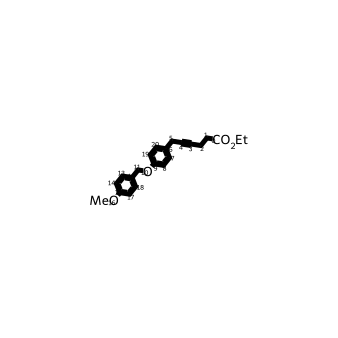 CCOC(=O)CCC#CCc1ccc(OCc2ccc(OC)cc2)cc1